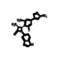 Cc1cc(-c2cnn(C)c2)cc(F)c1[C@H]1[C@@H](C)C(=O)N1c1ccc2[nH]cnc2c1